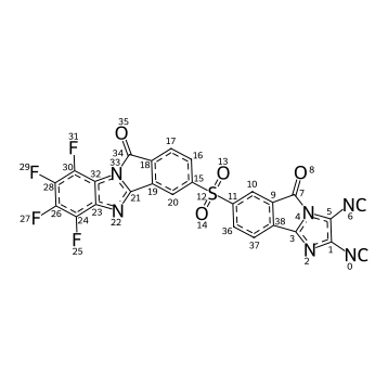 [C-]#[N+]c1nc2n(c1[N+]#[C-])C(=O)c1cc(S(=O)(=O)c3ccc4c(c3)-c3nc5c(F)c(F)c(F)c(F)c5n3C4=O)ccc1-2